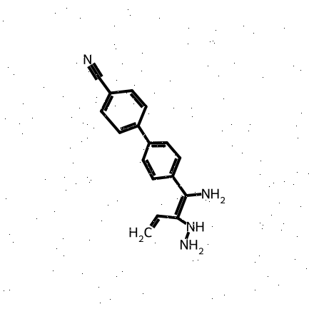 C=C/C(NN)=C(/N)c1ccc(-c2ccc(C#N)cc2)cc1